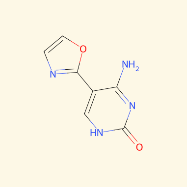 Nc1nc(=O)[nH]cc1-c1ncco1